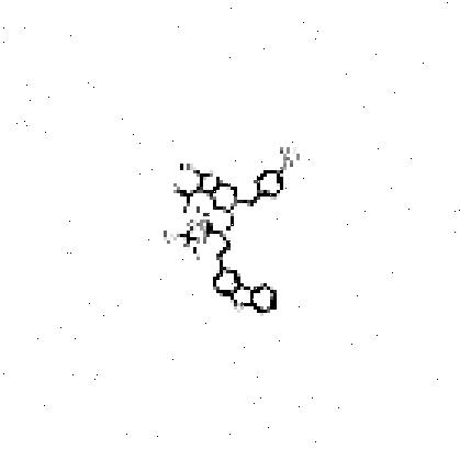 COc1ccc(CN2Cc3sc(N)c(C(=O)O)c3CC2CN(CCc2ccc3oc4ccccc4c3c2)C(=O)OC(C)(C)C)cc1